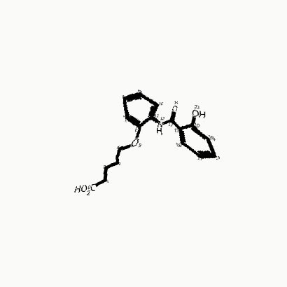 O=C(O)CCCCOc1ccccc1NC(=O)c1ccccc1O